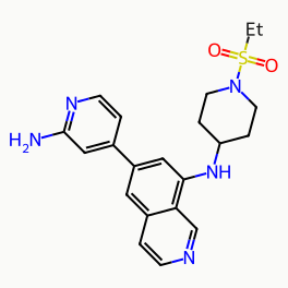 CCS(=O)(=O)N1CCC(Nc2cc(-c3ccnc(N)c3)cc3ccncc23)CC1